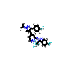 CC(C)n1cc(-c2ccnc(NC(c3ccc(F)cc3)C(F)(F)F)c2)c(-c2ccc(F)cc2)n1